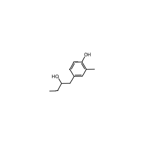 CCC(O)Cc1ccc(O)c(C)c1